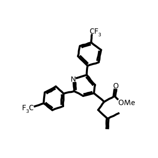 C=C(C)CC(C(=O)OC)c1cc(-c2ccc(C(F)(F)F)cc2)nc(-c2ccc(C(F)(F)F)cc2)c1